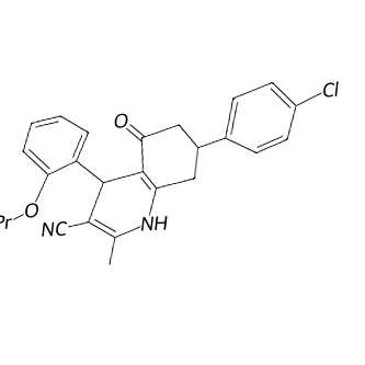 CC1=C(C#N)C(c2ccccc2OC(C)C)C2=C(CC(c3ccc(Cl)cc3)CC2=O)N1